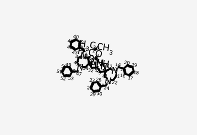 CC(C)(C)OC(=O)NC(CC1(N)CN(Cc2ccccc2)CCN(Cc2ccccc2)C1)CC1(N)CN(Cc2ccccc2)CCN(Cc2ccccc2)C1